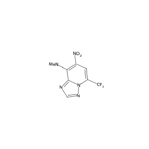 CNc1c([N+](=O)[O-])cc(C(F)(F)F)n2ncnc12